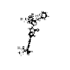 CN(C)C1(C#CC#Cc2cc3n(c2)C(=O)N(CCC(C)(C(=O)NO[C@@H]2CCCCO2)S(C)(=O)=O)C3)CC1